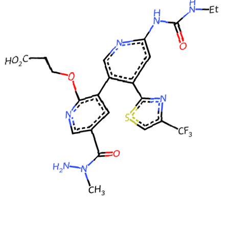 CCNC(=O)Nc1cc(-c2nc(C(F)(F)F)cs2)c(-c2cc(C(=O)N(C)N)cnc2OCCC(=O)O)cn1